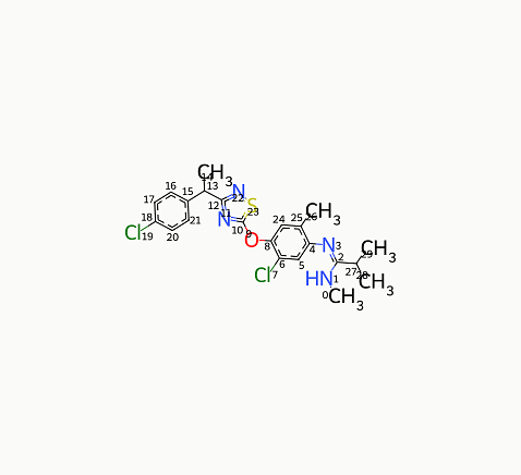 CNC(=Nc1cc(Cl)c(Oc2nc(C(C)c3ccc(Cl)cc3)ns2)cc1C)C(C)C